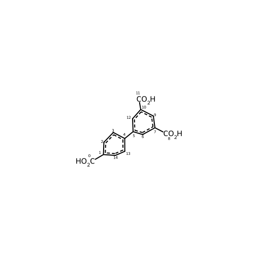 O=C(O)c1ccc(-c2cc(C(=O)O)cc(C(=O)O)c2)cc1